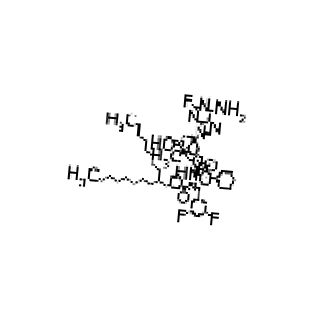 CCCCCCCCC(CCCCCCCC)COC(=O)[C@H](Cc1cc(F)cc(F)c1)N[P@](=O)(OC[C@@]1(C)O[C@@H](n2cnc3c(N)nc(F)nc32)C[C@@H]1O)Oc1ccccc1